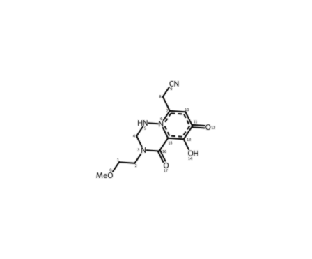 COCCN1CNn2c(CC#N)cc(=O)c(O)c2C1=O